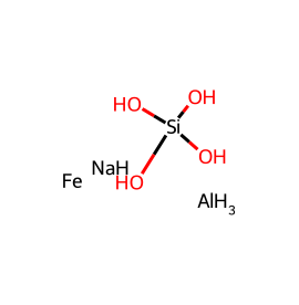 O[Si](O)(O)O.[AlH3].[Fe].[NaH]